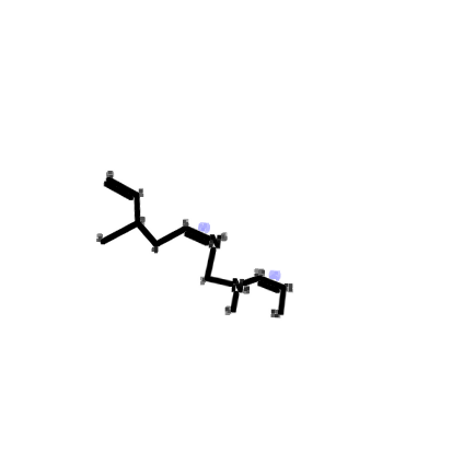 C=CC(C)C/C=N\CN(C)/C=C\C